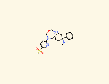 CN(C)[C@]1(c2ccccc2)CC[C@]2(CC1)CN(c1ccc(S(C)(=O)=O)cn1)COCN2